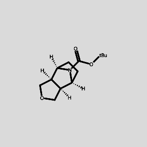 CC(C)(C)OC(=O)N1[C@@H]2CC[C@H]1[C@H]1COC[C@H]12